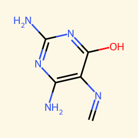 C=Nc1c(N)nc(N)nc1O